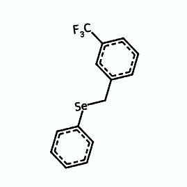 FC(F)(F)c1cccc(C[Se]c2ccccc2)c1